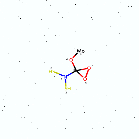 SN(S)C1([O][Mo])OO1